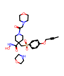 C1COCCN1.CC#CCOc1ccc(S(=O)(=O)CC2(C(=O)NO)CCN(C(=O)CN3CCOCC3)CC2)cc1